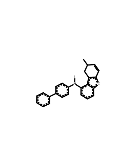 CC1C=Cc2oc3cccc(N(I)c4ccc(-c5ccccc5)cc4)c3c2C1